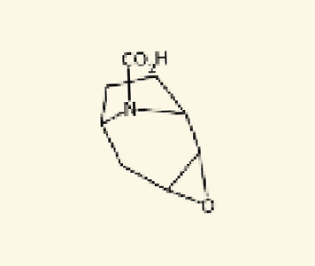 O=C(O)N1C2CCC1C1OC1C2